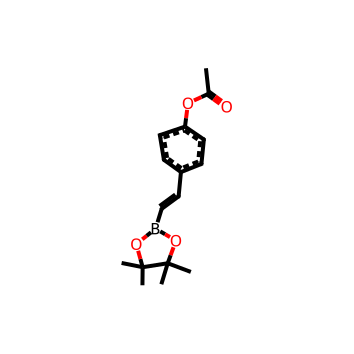 CC(=O)Oc1ccc(/C=C/B2OC(C)(C)C(C)(C)O2)cc1